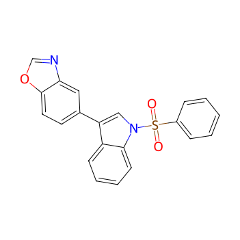 O=S(=O)(c1ccccc1)n1cc(-c2ccc3ocnc3c2)c2ccccc21